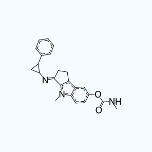 CNC(=O)Oc1ccc2c(c1)c1c(n2C)C(=NC2CC2c2ccccc2)CC1